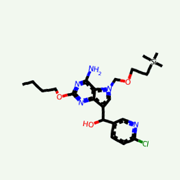 CCCCOc1nc(N)c2c(n1)c(C(O)c1ccc(Cl)nc1)cn2COCC[Si](C)(C)C